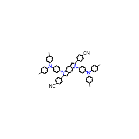 Cc1ccc(N(c2ccc(C)cc2)c2ccc(-n3c(-c4ccc(C#N)cc4)cc4cc5c(cc(-c6ccc(C#N)cc6)n5-c5ccc(N(c6ccc(C)cc6)c6ccc(C)cc6)cc5)cc43)cc2)cc1